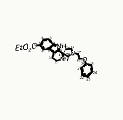 CCOC(=O)c1ccc2[nH]c3c(c2c1)CCN[C@@]31CCN(CCOc2ccccc2)C1